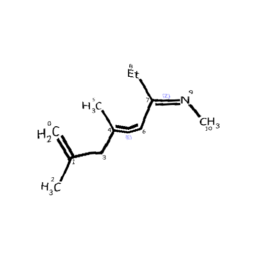 C=C(C)C/C(C)=C/C(CC)=N\C